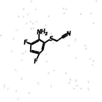 N#CCSc1cc(F)cc(F)c1N